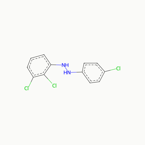 Clc1ccc(NNc2cccc(Cl)c2Cl)cc1